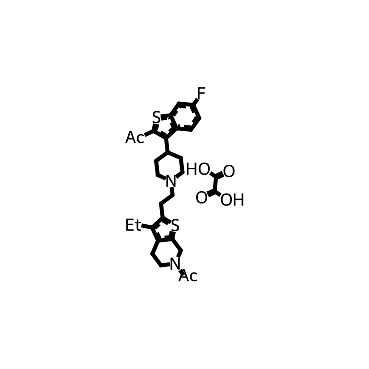 CCc1c(CCN2CCC(c3c(C(C)=O)sc4cc(F)ccc34)CC2)sc2c1CCN(C(C)=O)C2.O=C(O)C(=O)O